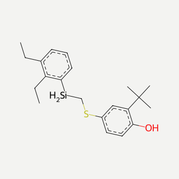 CCc1cccc([SiH2]CSc2ccc(O)c(C(C)(C)C)c2)c1CC